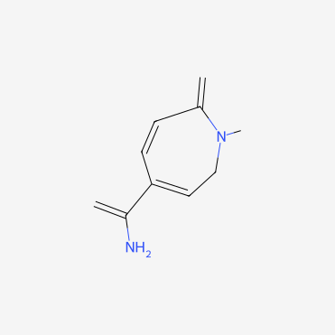 C=C(N)C1=CCN(C)C(=C)C=C1